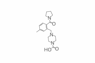 Cc1ccc(C(=O)N2CCCC2)c(CN2CCN(C(=O)O)CC2)c1